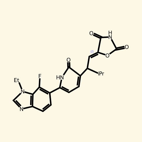 CCn1cnc2ccc(-c3ccc(C(/C=C4\OC(=O)NC4=O)C(C)C)c(=O)[nH]3)c(F)c21